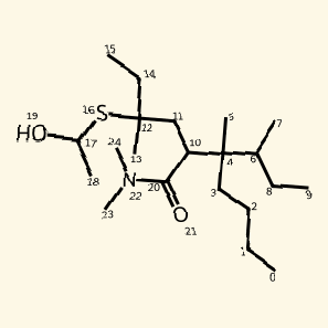 CCCCC(C)(C(C)CC)C(CC(C)(CC)SC(C)O)C(=O)N(C)C